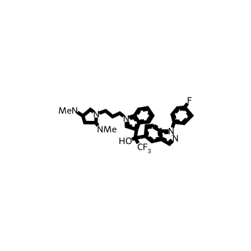 CNC1CC(NC)N(CCCn2cc(C(O)(c3ccc4c(cnn4-c4ccc(F)cc4)c3)C(F)(F)F)c3ccccc32)C1